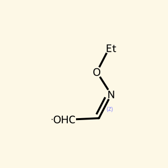 CCO/N=C\[C]=O